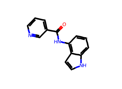 O=C(Nc1c[c]cc2[nH]ccc12)c1cccnc1